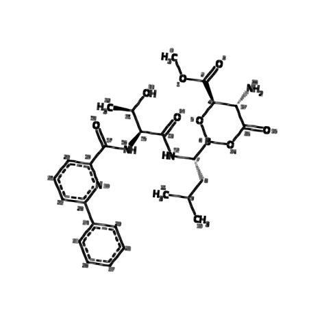 COC(=O)[C@@H]1OB([C@H](CC(C)C)NC(=O)[C@@H](NC(=O)c2cccc(-c3ccccc3)n2)[C@@H](C)O)OC(=O)[C@H]1N